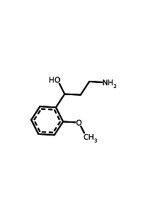 COc1ccccc1C(O)CCN